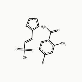 Cc1cc(Br)ccc1C(N)=O.O=S(=O)(O)/C=C/c1cccs1